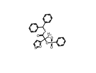 CC(OS(=O)(=O)c1ccccc1)(C(=O)SC(c1ccccc1)c1ccccc1)c1ccno1